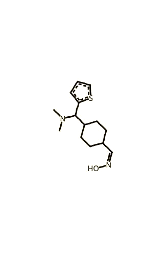 CN(C)C(c1cccs1)C1CCC(/C=N\O)CC1